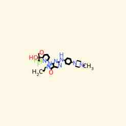 C=CCn1c(=O)c2cnc(Nc3ccc(N4CCN(C)CC4)cc3)nc2n1-c1ccc2c(n1)[C@@](O)(C(F)(F)F)CO2